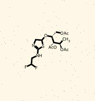 CC(=O)OC[C@@H](OC1CN=C(NCC(F)F)S1)[C@@H](OC(C)=O)[C@@H](C)OC(C)=O